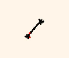 CCO[Si](CCCCCCCCSCCCCCCCC[Si](OCC)(OCC)OCC)(OCC)OCC